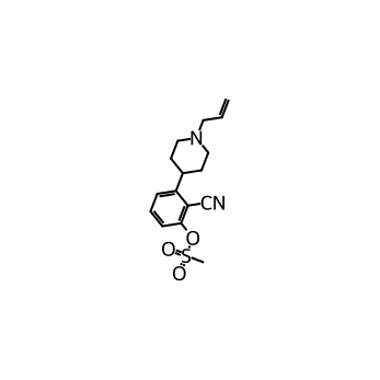 C=CCN1CCC(c2cccc(OS(C)(=O)=O)c2C#N)CC1